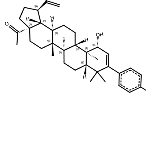 C=C(C)[C@@H]1CC[C@]2(C(C)=O)CC[C@]3(C)[C@H](CC[C@@H]4[C@@]5(C)[C@H](O)C=C(c6ccc(OC=O)cc6)C(C)(C)[C@@H]5CC[C@]43C)[C@@H]12